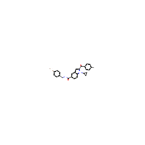 CCS(=O)(=O)c1ccc(CNC(=O)c2ccc3c(c2)cc(C(=O)c2ccc(C(F)(F)F)cc2)n3C2CC2)cc1